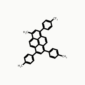 Cc1ccc(-c2cc(-c3ccc(C)cc3)c3ccc4c(-c5ccc(C(F)(F)F)cc5)cc(C)c5ccc2c3c54)cc1